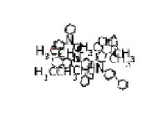 Cc1cc2c(cc1N(c1cc(-c3ccccc3)cc(-c3cc4c(cc3Nc3ccc(-c5ccccc5)cc3)C(C)(C)c3ccccc3C4(C)C)c1)c1cccc(N(c3ccccc3)c3ccccc3)c1)C(C)(C)CCC2(C)C